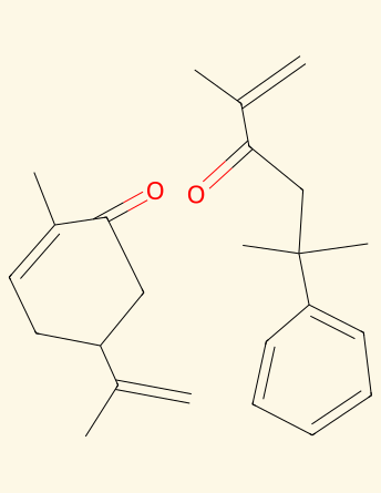 C=C(C)C(=O)CC(C)(C)c1ccccc1.C=C(C)C1CC=C(C)C(=O)C1